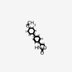 COC1CCC(c2ccc(C3COC(=O)N3)cc2)CC1